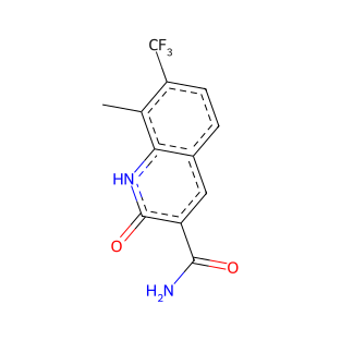 Cc1c(C(F)(F)F)ccc2cc(C(N)=O)c(=O)[nH]c12